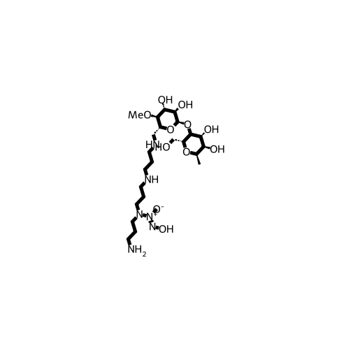 CO[C@H]1[C@H](O)[C@@H](O)[C@@H](OC2[C@@H](CO)O[C@H](C)[C@H](O)[C@H]2O)O[C@@H]1CNCCCNCCCN(CCCN)/[N+]([O-])=N/O